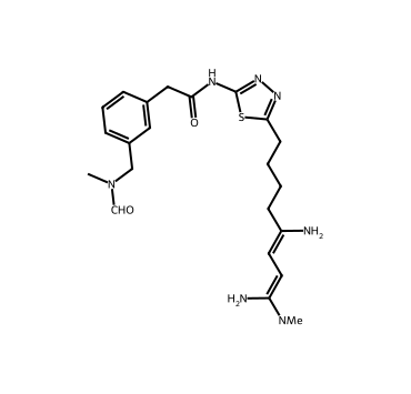 CN/C(N)=C/C=C(\N)CCCCc1nnc(NC(=O)Cc2cccc(CN(C)C=O)c2)s1